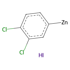 Clc1cc[c]([Zn])cc1Cl.I